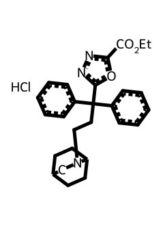 CCOC(=O)c1nnc(C(CCN2CC3CCC2CC3)(c2ccccc2)c2ccccc2)o1.Cl